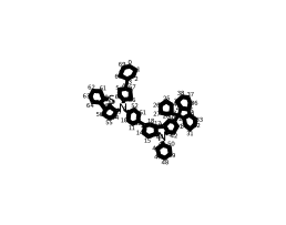 c1ccc(-c2ccc(N(c3ccc(-c4ccc5c(c4)c4cc(C6(c7ccccc7)c7ccccc7-c7ccccc76)ccc4n5-c4ccccc4)cc3)c3cccc4c3sc3ccccc34)cc2)cc1